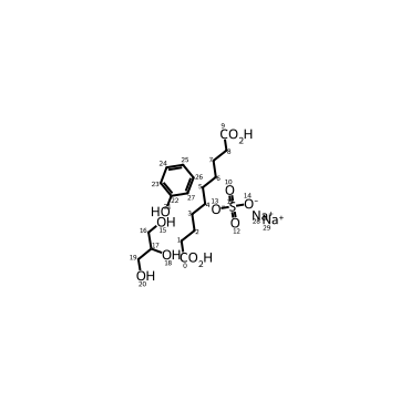 O=C(O)CCCCCCCCC(=O)O.O=S(=O)([O-])[O-].OCC(O)CO.Oc1ccccc1.[Na+].[Na+]